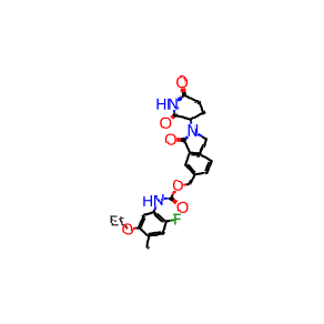 CCOc1cc(NC(=O)OCc2ccc3c(c2)C(=O)N(C2CCC(=O)NC2=O)C3)c(F)cc1C